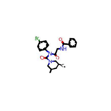 CCC1CC(C)CN(C(=O)N(C(=O)CNC(=O)c2ccccc2)c2ccc(Br)cc2)C1